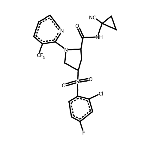 N#CC1(NC(=O)C2CC(S(=O)(=O)c3ccc(F)cc3Cl)CN2c2ncccc2C(F)(F)F)CC1